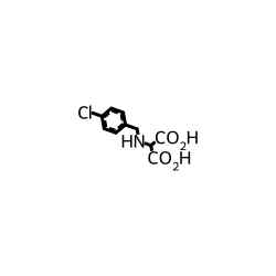 O=C(O)C(NCc1ccc(Cl)cc1)C(=O)O